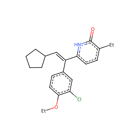 CCOc1ccc(/C(=C\C2CCCC2)c2ccc(CC)c(=O)[nH]2)cc1Cl